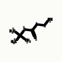 CC(C)(C)OC(=O)[CH]CO